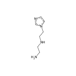 NCCNCCn1ccnc1